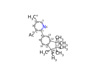 CC(=O)c1cc(C)cnc1-c1ccc2c(c1)C(C)(C)C(C)(C)C2(C)C